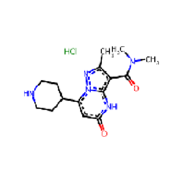 Cc1nn2c(C3CCNCC3)cc(=O)[nH]c2c1C(=O)N(C)C.Cl